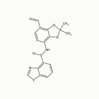 CC1(C)Oc2c(C=O)ccc(N[S+]([O-])c3cccc4scnc34)c2O1